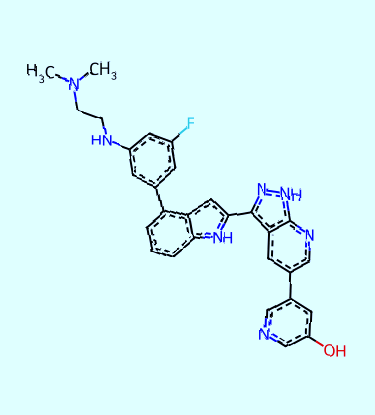 CN(C)CCNc1cc(F)cc(-c2cccc3[nH]c(-c4n[nH]c5ncc(-c6cncc(O)c6)cc45)cc23)c1